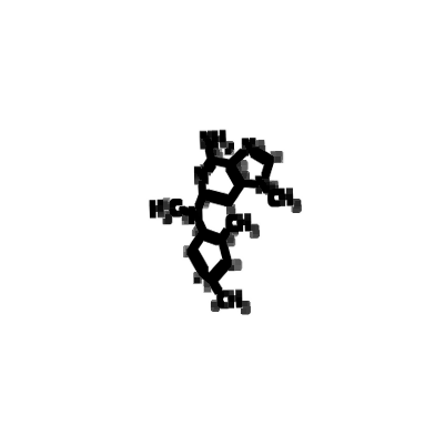 Cc1ccc(N(C)c2cc3c(ncn3C)c(N)n2)c(C)c1